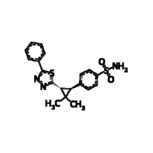 CC1(C)[C@H](c2ccc(S(N)(=O)=O)cc2)[C@H]1c1nnc(-c2ccccc2)s1